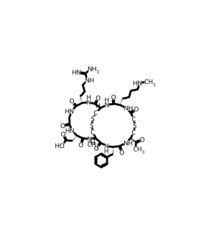 CNCCCC[C@@H]1NC(=O)CSC[C@@H](C(C)=O)NC(=O)[C@H](Cc2ccccc2)NC(=O)[C@@H]2CSSC[C@H](NC1=O)C(=O)N[C@@H](CCCNC(=N)N)C(=O)NCC(=O)N[C@@H](CC(=O)O)C(=O)N2C